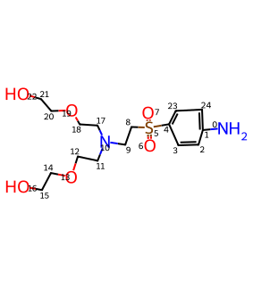 Nc1ccc(S(=O)(=O)CCN(CCOCCO)CCOCCO)cc1